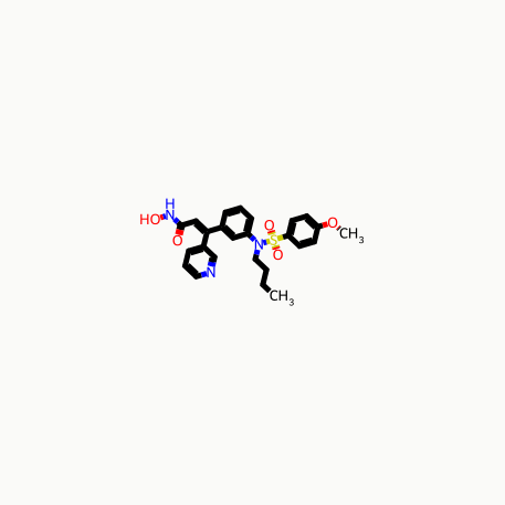 CCCCN(c1cccc(C(=CC(=O)NO)c2cccnc2)c1)S(=O)(=O)c1ccc(OC)cc1